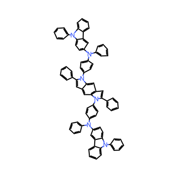 c1ccc(-c2cc3cc4c(cc(-c5ccccc5)n4-c4ccc(N(c5ccccc5)c5ccc6c(c5)c5ccccc5n6-c5ccccc5)cc4)cc3n2-c2ccc(N(c3ccccc3)c3ccc4c(c3)c3ccccc3n4-c3ccccc3)cc2)cc1